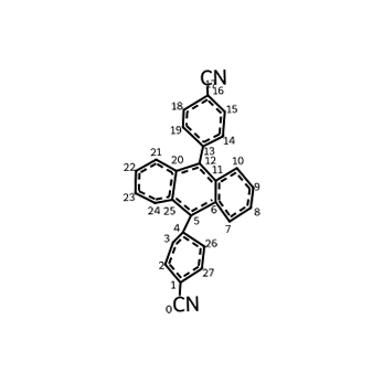 N#Cc1ccc(-c2c3ccccc3c(-c3ccc(C#N)cc3)c3ccccc23)cc1